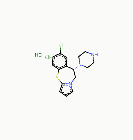 Cl.Cl.Clc1ccc2c(c1)[C@H](N1CCNCC1)Cn1cccc1S2